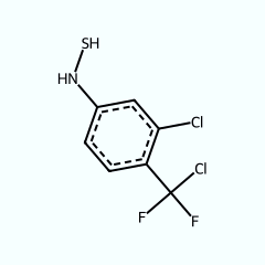 FC(F)(Cl)c1ccc(NS)cc1Cl